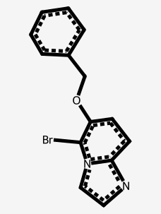 Brc1c(OCc2ccccc2)ccc2nccn12